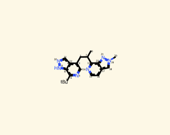 CC(Cc1cnc(C(C)(C)C)c2[nH]ncc12)c1nccc2cn(C)nc12